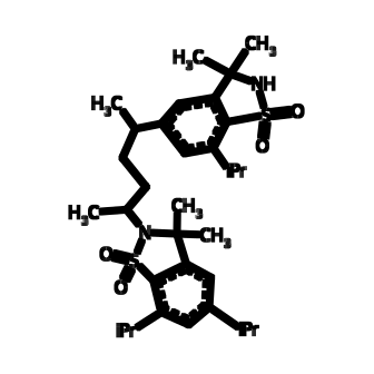 CC(C)c1cc(C(C)C)c2c(c1)C(C)(C)N(C(C)CCC(C)c1cc(C(C)C)c3c(c1)C(C)(C)NS3(=O)=O)S2(=O)=O